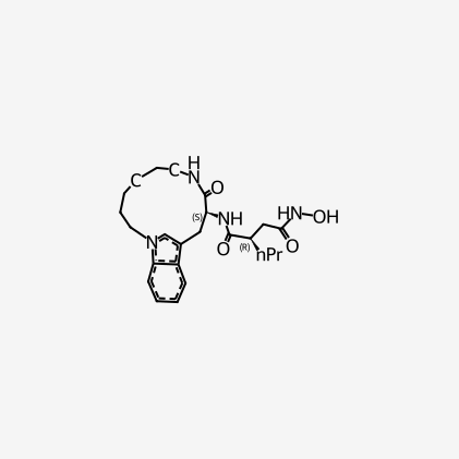 CCC[C@H](CC(=O)NO)C(=O)N[C@H]1Cc2cn(c3ccccc23)CCCCCCNC1=O